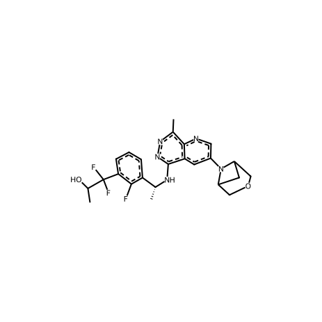 Cc1nnc(N[C@H](C)c2cccc(C(F)(F)C(C)O)c2F)c2cc(N3C4COCC3C4)cnc12